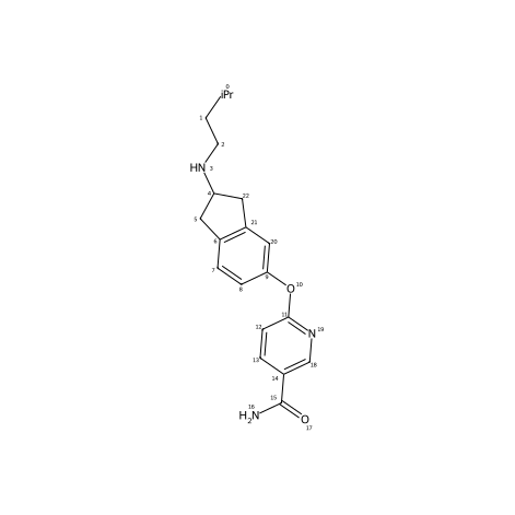 CC(C)CCNC1Cc2ccc(Oc3ccc(C(N)=O)cn3)cc2C1